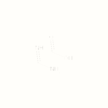 N=CN.O=CO